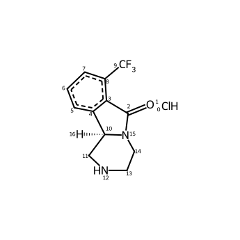 Cl.O=C1c2c(cccc2C(F)(F)F)[C@@H]2CNCCN12